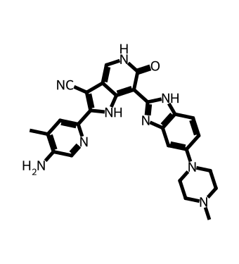 Cc1cc(-c2[nH]c3c(-c4nc5cc(N6CCN(C)CC6)ccc5[nH]4)c(=O)[nH]cc3c2C#N)ncc1N